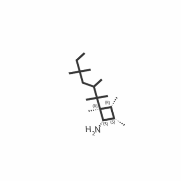 CCC(C)(C)CC(C)C(C)(C)[C@@]1(C)[C@H](C)[C@H](C)[C@@H]1N